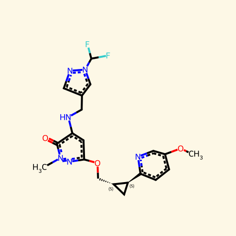 COc1ccc([C@H]2C[C@@H]2COc2cc(NCc3cnn(C(F)F)c3)c(=O)n(C)n2)nc1